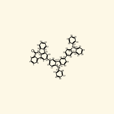 O=c1c2ccccc2c2cc(-c3ccc4c(c3)c3cc(-c5ccc6c(c5)c5ccccc5n6-c5ccccc5)ccc3n4-c3ccccc3)cc3c4ccccc4n1c23